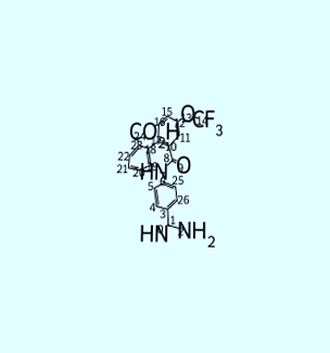 N=C(N)c1ccc(NC(=O)c2cc(OC(F)(F)F)ccc2-c2ccccc2C(=O)O)cc1